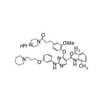 CCCN1CCN(C(=O)CCc2ccc(Oc3nc(Nc4cccc(OCCCN5CCCCC5)c4)ncc3C(=O)Nc3c(C)cccc3C)c(OC)c2)CC1